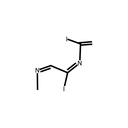 C=C(I)/N=C(I)\C=N/C